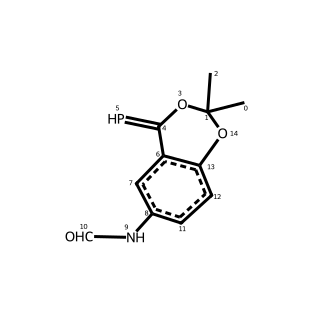 CC1(C)OC(=P)c2cc(NC=O)ccc2O1